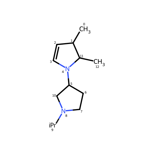 CC1C=CN(C2CCN(C(C)C)C2)C1C